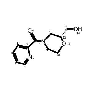 O=C(c1cc[c]cn1)N1CCO[C@@H](CO)C1